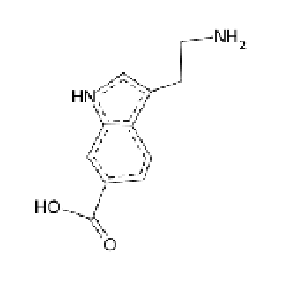 NCCc1c[nH]c2cc(C(=O)O)ccc12